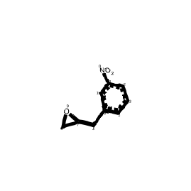 O=[N+]([O-])c1cccc(CC2CO2)c1